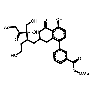 CONC(=O)c1cccc(-c2ccc(O)c3c2CC(CC(CCO)[C@](O)(CO)C(=O)CC(C)=O)CC3=O)c1